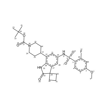 COc1ccc(S(=O)(=O)Nc2cc(C3CCN(C(=O)OC(C)(C)C)CC3)c3c(c2)C2(CCC2)C(=O)N3)c(F)c1